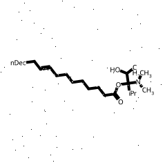 CCCCCCCCCCCC=CCCCCCCCC(=O)OC(C(C)C)(C(C)O)N(C)C